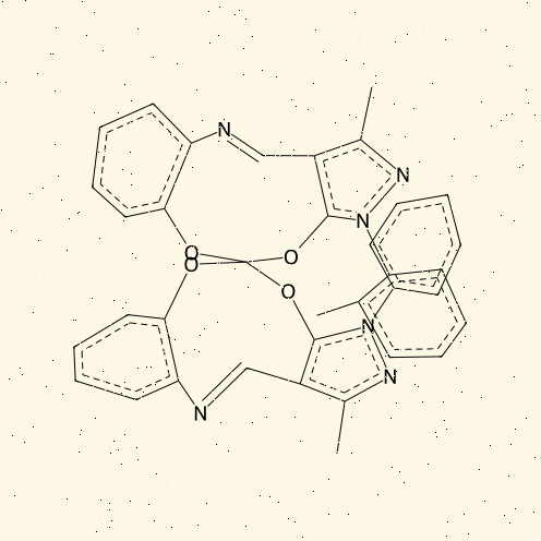 Cc1ccccc1-n1nc(C)c2c1OC1(Oc3ccccc3/N=C/c3c(C)nn(-c4ccccc4)c3O1)Oc1ccccc1/N=C/2